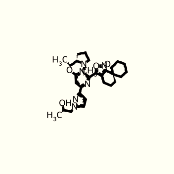 C[C@H](Oc1cc(-c2ccn(C[C@@H](C)O)n2)nc(-c2onc3c2CCC[C@@]32CCCCC2=O)n1)[C@@H]1CCCN1C